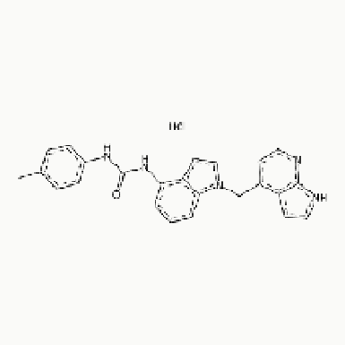 Cc1ccc(NC(=O)Nc2cccc3c2ccn3Cc2ccnc3[nH]ccc23)cc1.Cl